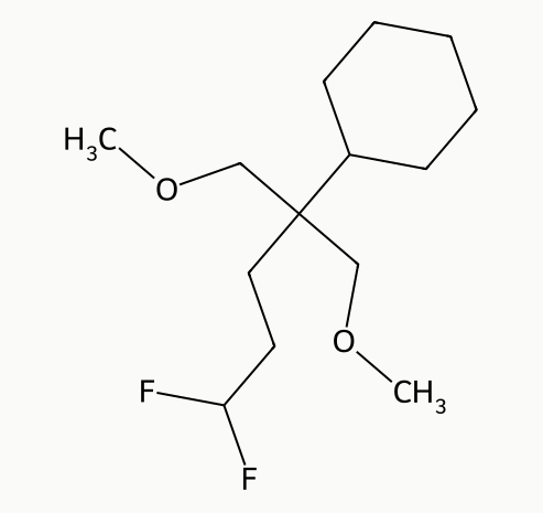 COCC(CCC(F)F)(COC)C1CCCCC1